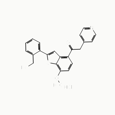 CCc1ccccc1-c1cc2c(C(=O)Cc3ccncc3)ccc(OC)c2o1.Cl